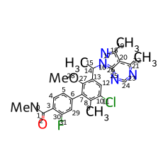 CNC(=O)c1ccc(-c2c(C)c(Cl)cc(C(C)n3nc(C)c4c(C)ncnc43)c2OC)cc1F